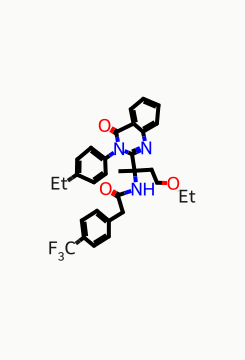 CCOCCC(C)(NC(=O)Cc1ccc(C(F)(F)F)cc1)c1nc2ccccc2c(=O)n1-c1ccc(CC)cc1